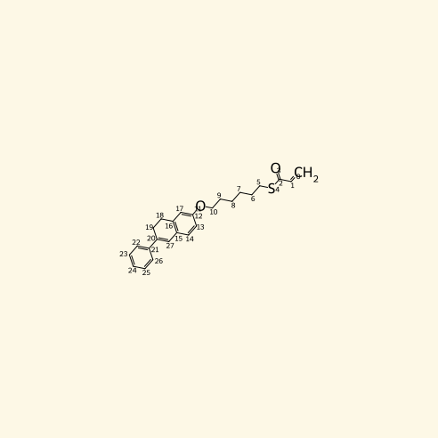 C=CC(=O)SCCCCCCOc1ccc2c(c1)CCC(c1ccccc1)=C2